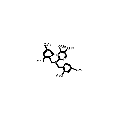 COc1ccc(CN(Cc2ccc(OC)cc2OC)c2ncc(C=O)c(OC)n2)c(OC)c1